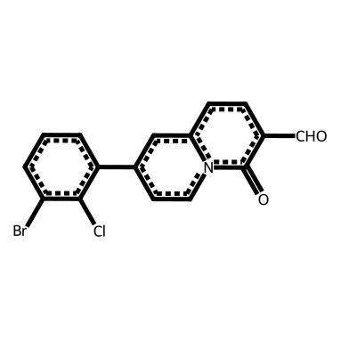 O=Cc1ccc2cc(-c3cccc(Br)c3Cl)ccn2c1=O